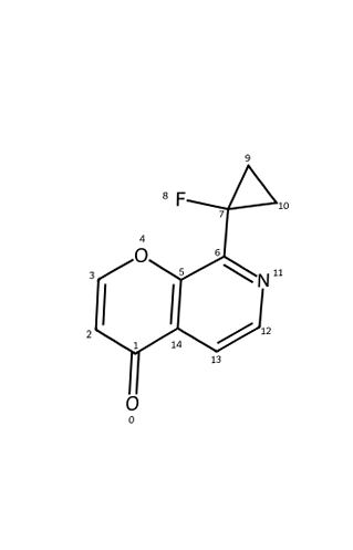 O=c1ccoc2c(C3(F)CC3)nccc12